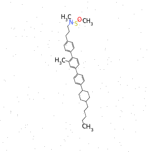 CCCCCC1CCC(c2ccc(-c3ccc(-c4ccc(CCCN(C)SOC)cc4)c(C)c3)cc2)CC1